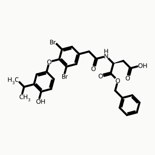 CC(C)c1cc(Oc2c(Br)cc(CC(=O)N[C@@H](CC(=O)O)C(=O)OCc3ccccc3)cc2Br)ccc1O